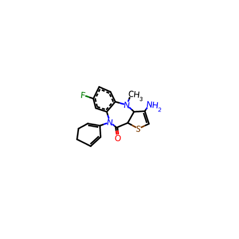 CN1c2ccc(F)cc2N(C2=CCCC=C2)C(=O)C2SC=C(N)C21